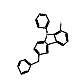 Ic1cccc2c3cc(Cc4ccccc4)ccc3n(-c3ccccc3)c12